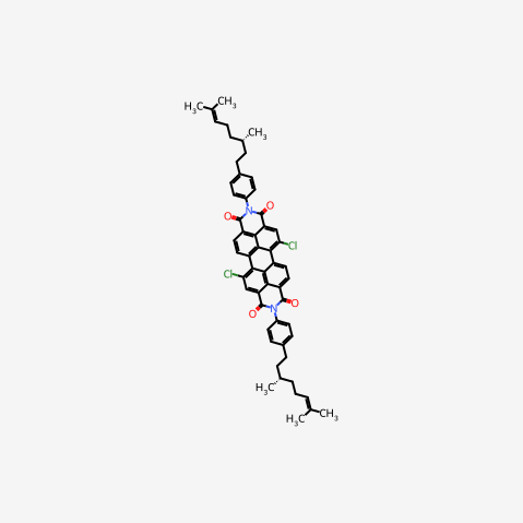 CC(C)=CCC[C@H](C)CCc1ccc(N2C(=O)c3ccc4c5c(Cl)cc6c7c(ccc(c8c(Cl)cc(c3c48)C2=O)c75)C(=O)N(c2ccc(CC[C@@H](C)CCC=C(C)C)cc2)C6=O)cc1